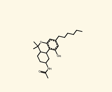 CCCCCCc1cc(O)c2c(c1)OC(C)(C)C1CCC(NC(C)=O)CC21